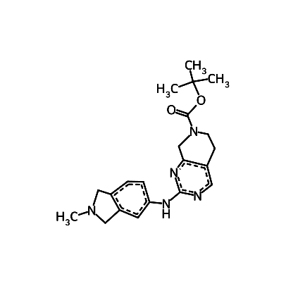 CN1Cc2ccc(Nc3ncc4c(n3)CN(C(=O)OC(C)(C)C)CC4)cc2C1